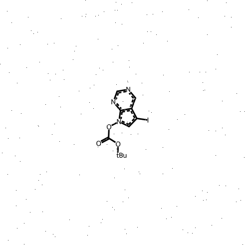 CC(C)(C)OC(=O)On1cc(I)c2cncnc21